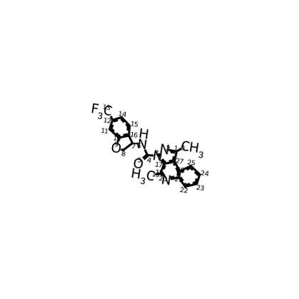 Cc1nn(C(=O)N[C@H]2COc3cc(C(F)(F)F)ccc32)c2c(C)nc3ccccc3c12